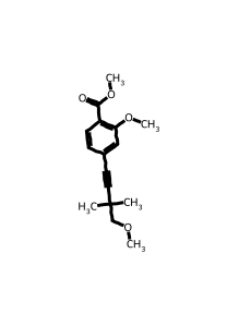 COCC(C)(C)C#Cc1ccc(C(=O)OC)c(OC)c1